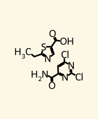 CCc1ncc(C(=O)O)s1.NC(=O)c1cc(Cl)nc(Cl)n1